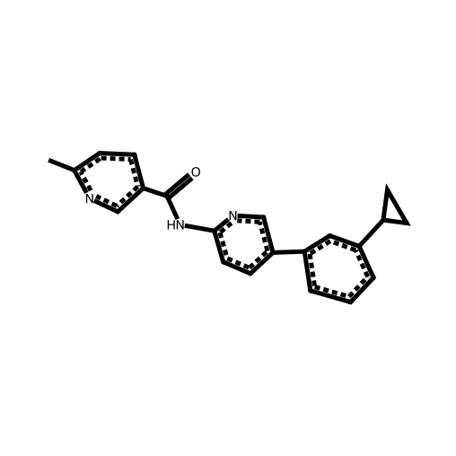 Cc1ccc(C(=O)Nc2ccc(-c3cccc(C4CC4)c3)cn2)cn1